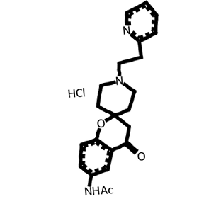 CC(=O)Nc1ccc2c(c1)C(=O)CC1(CCN(CCc3ccccn3)CC1)O2.Cl